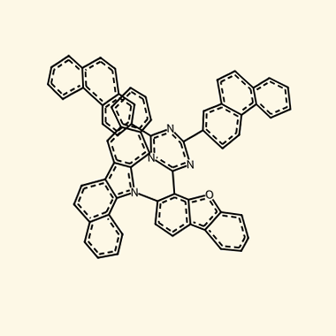 c1ccc2cc3c(cc2c1)c1ccc2ccccc2c1n3-c1ccc2c(oc3ccccc32)c1-c1nc(-c2ccc3c(ccc4ccccc43)c2)nc(-c2ccc3c(ccc4ccccc43)c2)n1